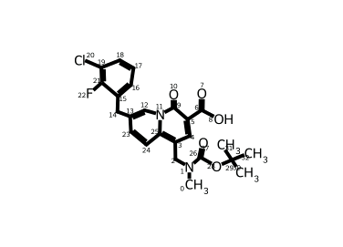 CN(Cc1cc(C(=O)O)c(=O)n2cc(Cc3cccc(Cl)c3F)ccc12)C(=O)OC(C)(C)C